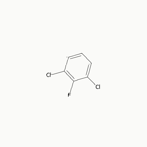 Fc1c(Cl)[c]ccc1Cl